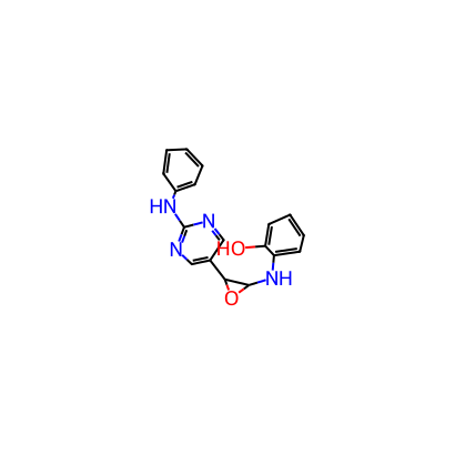 Oc1ccccc1NC1OC1c1cnc(Nc2ccccc2)nc1